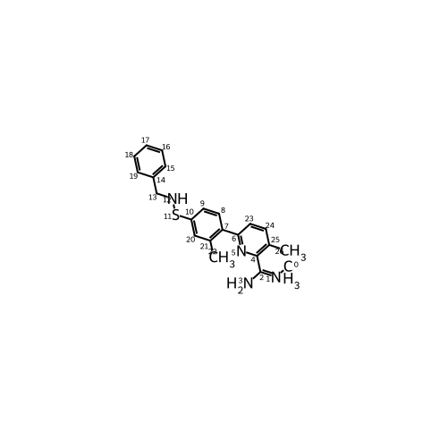 C/N=C(/N)c1nc(-c2ccc(SNCc3ccccc3)cc2C)ccc1C